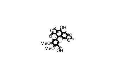 COc1cc(C2c3cc4c(cc3C(O)C3COC(=O)C23)OCO4)cc(CO)c1OC